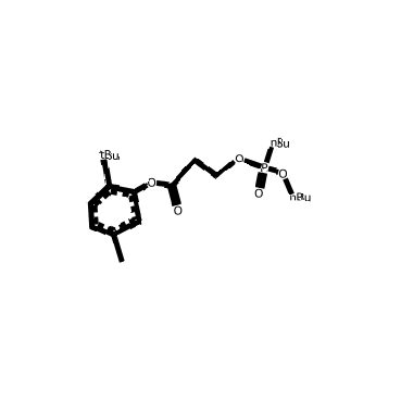 CCCCOP(=O)(CCCC)OCCC(=O)Oc1cc(C)ccc1C(C)(C)C